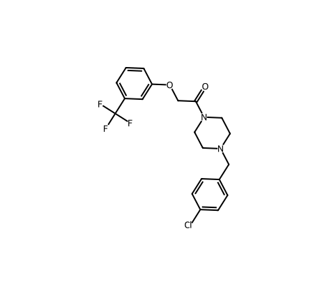 O=C(COc1cccc(C(F)(F)F)c1)N1CCN(Cc2ccc(Cl)cc2)CC1